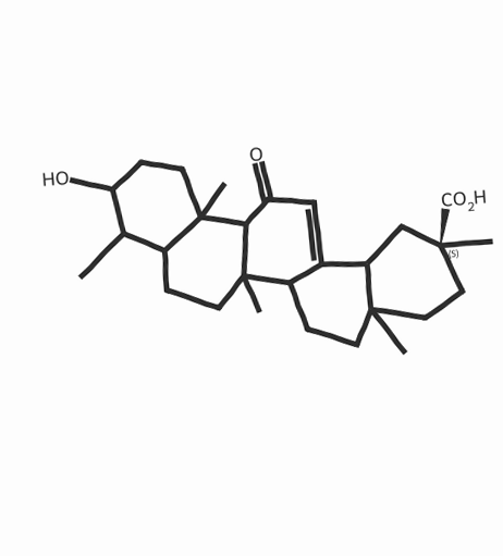 CC1C(O)CCC2(C)C1CCC1(C)C3CCC4(C)CC[C@](C)(C(=O)O)CC4C3=CC(=O)C12